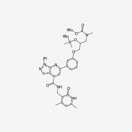 Cc1cc(C)c(CNC(=O)c2cc(-c3cccc(OCC(CN(C)C(=O)OC(C)(C)C)O[Si](C)(C)C(C)(C)C)c3)nc3c2cnn3C(C)C)c(=O)[nH]1